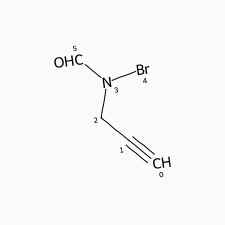 C#CCN(Br)C=O